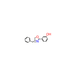 Oc1cccc(C2=N[C@@H](Cc3ccccc3)CO2)c1